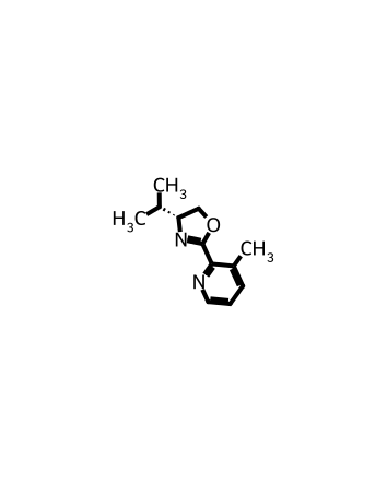 Cc1cccnc1C1=N[C@H](C(C)C)CO1